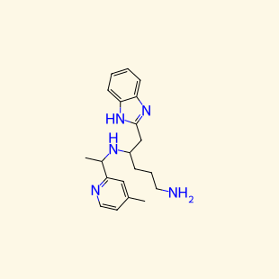 Cc1ccnc(C(C)NC(CCCN)Cc2nc3ccccc3[nH]2)c1